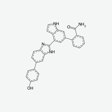 NC(=O)c1ccccc1-c1cc(-c2nc3ccc(-c4ccc(O)cc4)cc3[nH]2)c2cc[nH]c2c1